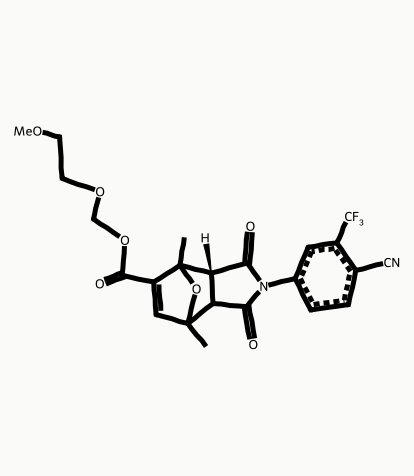 COCCOCOC(=O)C1=CC2(C)OC1(C)[C@@H]1C(=O)N(c3ccc(C#N)c(C(F)(F)F)c3)C(=O)C12